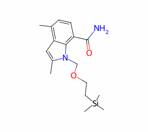 Cc1ccc(C(N)=O)c2c1cc(C)n2COCC[Si](C)(C)C